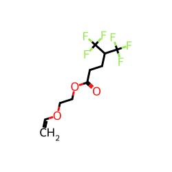 C=COCCOC(=O)CCC(C(F)(F)F)C(F)(F)F